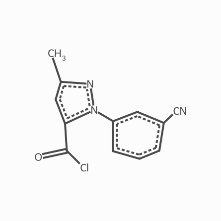 Cc1cc(C(=O)Cl)n(-c2cccc(C#N)c2)n1